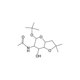 CC(=O)NC1C(OC(C)(C)C)OC2CC(C)(C)OC2C1O